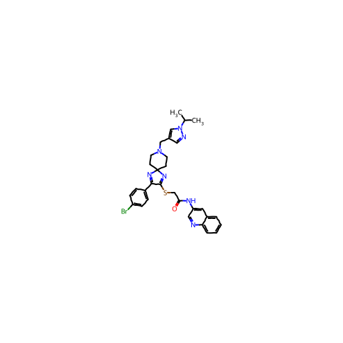 CC(C)n1cc(CN2CCC3(CC2)N=C(SCC(=O)Nc2cnc4ccccc4c2)C(c2ccc(Br)cc2)=N3)cn1